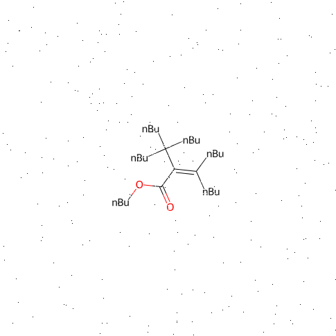 CCCCOC(=O)C(=C(CCCC)CCCC)C(CCCC)(CCCC)CCCC